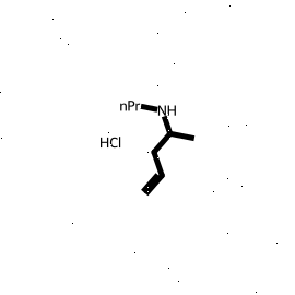 C=CCC(C)NCCC.Cl